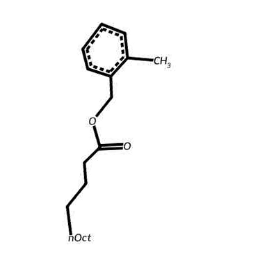 CCCCCCCCCCCC(=O)OCc1ccccc1C